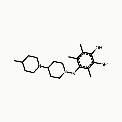 CCCc1c(C)c(SN2CCC(N3CCC(C)CC3)CC2)c(C)c(C)c1O